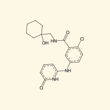 O=C(NCC1(O)CCCCC1)c1cc(Nc2cccc(=O)[nH]2)ccc1Cl